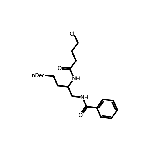 CCCCCCCCCCCCC(CNC(=O)c1ccccc1)NC(=O)CCCCl